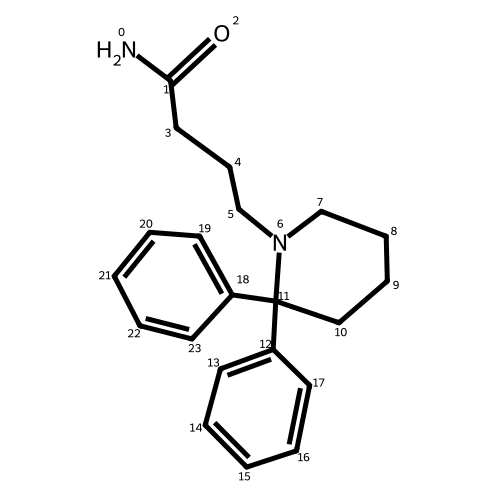 NC(=O)CCCN1CCCCC1(c1ccccc1)c1ccccc1